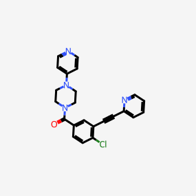 O=C(c1ccc(Cl)c(C#Cc2ccccn2)c1)N1CCN(c2ccncc2)CC1